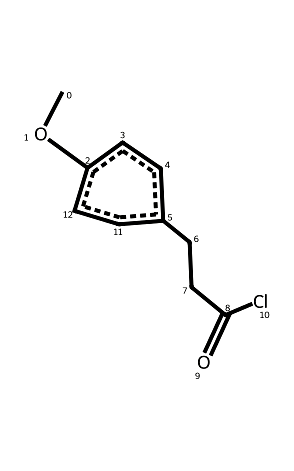 COc1ccc(CCC(=O)Cl)cc1